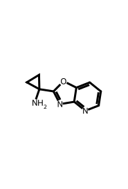 NC1(c2nc3ncccc3o2)CC1